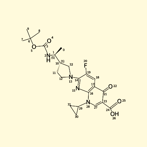 C[C@H](NC(=O)OC(C)(C)C)[C@H]1CCN(c2nc3c(cc2F)c(=O)c(C(=O)O)cn3C2CC2)C1